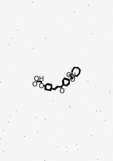 O=C(O)COc1ccc(C=CC(=O)c2ccc(S(=O)(=O)N3CCCCCC3)cc2)cc1